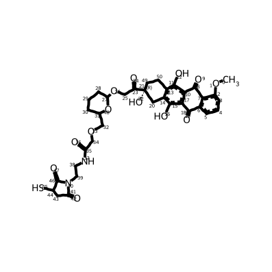 COc1cccc2c1C(=O)c1c(O)c3c(c(O)c1C2=O)C[C@@](O)(C(=O)COC1CCCC(COCC(=O)NCCN2C(=O)CC(S)C2=O)O1)CC3